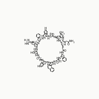 CC[C@@H]1NC(=O)[C@H](Cc2ccccc2)NC(=O)CSC[C@@H](C(=O)NCC(N)=O)NC(=O)[C@H](Cc2cncn2C)NC(=O)[C@H](CC)NC(=O)[C@H](Cc2c[nH]cn2)NC(=O)[C@H](Cc2ccccc2)N(C)C(=O)[C@H](CCCNC(=N)N)NC(=O)[C@H](CO)NC(=O)CNC(=O)[C@H](Cc2c[nH]cn2)NC(=O)[C@H](Cc2cccc3ccccc23)NC1=O